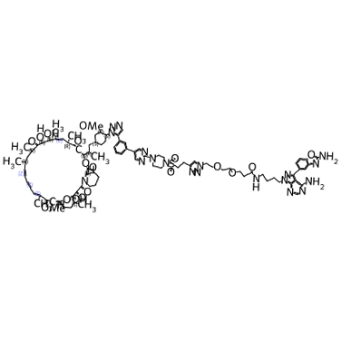 CO[C@@H]1C[C@H]2CC[C@H](C)[C@](O)(O2)C(=O)C(=O)N2CCCC[C@H]2C(=O)O[C@H]([C@H](C)C[C@@H]2CC[C@H](n3nncc3-c3cccc(-c4cnc(N5CCN(S(=O)(=O)CCc6cn(CCOCCOCCC(=O)NCCCCn7nc(-c8ccc9oc(N)nc9c8)c8c(N)ncnc87)nn6)CC5)nc4)c3)[C@H](OC)C2)CC(=O)[C@H](C)/C=C(/C)[C@H](O)[C@@H](O)C(=O)[C@H](C)C[C@H](C)\C=C/C=C\C=C/1C